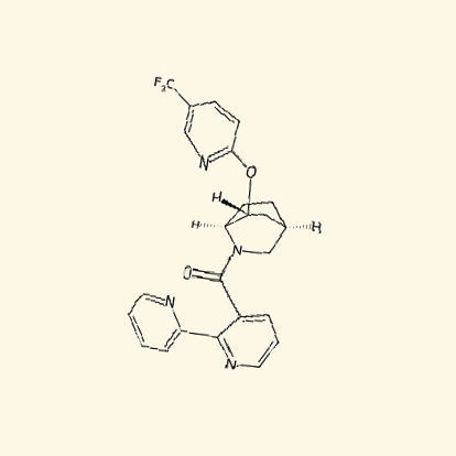 O=C(c1cccnc1-c1ccccn1)N1C[C@@H]2CC[C@H]1[C@H](Oc1ccc(C(F)(F)F)cn1)C2